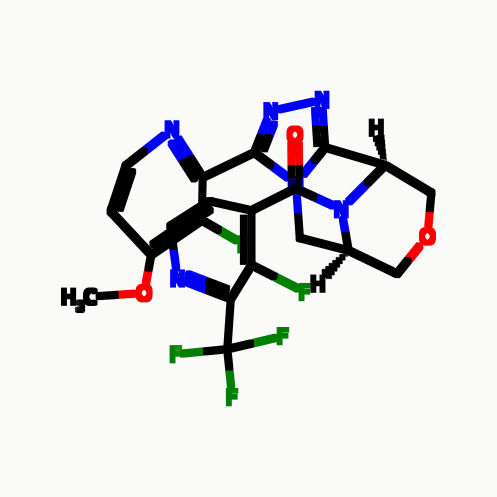 COc1ccnc(-c2nnc3n2C[C@@H]2COC[C@H]3N2C(=O)c2ccnc(C(F)(F)F)c2F)c1F